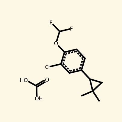 CC1(C)CC1c1ccc(OC(F)F)c(Cl)c1.O=C(O)O